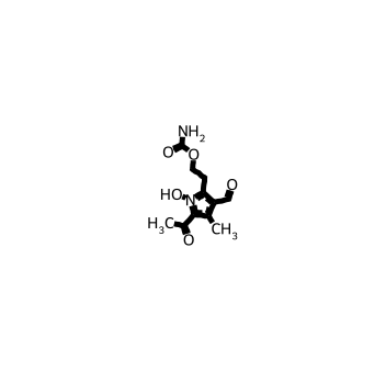 CC(=O)c1c(C)c(C=O)c(CCOC(N)=O)n1O